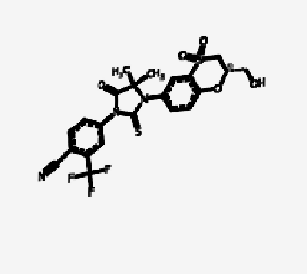 CC1(C)C(=O)N(c2ccc(C#N)c(C(F)(F)F)c2)C(=S)N1c1ccc2c(c1)S(=O)(=O)C[C@H](CO)O2